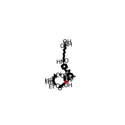 CC[C@H]1OC(=O)[C@H](C)[C@@H](O)[C@H](C)[C@H]2O[C@@H]3O[C@H](C)C[C@H](N(C)Cc4ccc(NC(=O)CCCCCCC(=O)NO)cc4)[C@H]3O[C@]2(C)C[C@@H](C)CN(C)[C@H](C)[C@@H](O)[C@]1(C)O